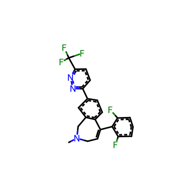 CN1CC=C(c2c(F)cccc2F)c2ccc(-c3ccc(C(F)(F)F)nn3)cc2C1